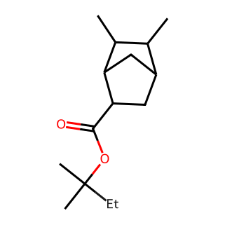 CCC(C)(C)OC(=O)C1CC2CC1C(C)C2C